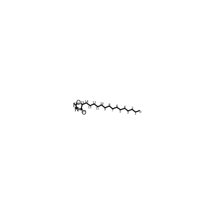 CCCCCCCCCCCCCCCC1ON=NC1=O